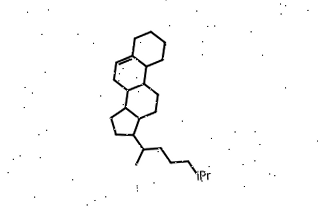 CC(C)CCCC(C)C1CCC2C1CCC1C3CCCCC3=CCC12